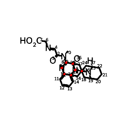 CN(C(=O)C=NCC(=O)O)c1nc2ccccc2n([C@@H]2CC3CCC[C@H](C2)N3C2CC3CCCC(C3)C2)c1=O